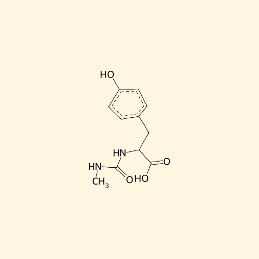 CNC(=O)NC(Cc1ccc(O)cc1)C(=O)O